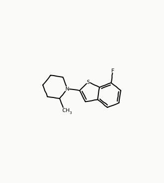 CC1CCCCN1c1cc2cccc(F)c2s1